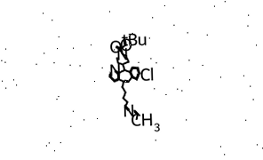 C/C=C\N=C/CCCCC1=Cc2cc(Cl)ccc2C(C2CCN(C(=O)OC(C)(C)C)CC2)c2ncccc21